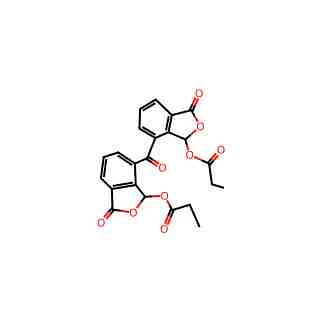 CCC(=O)OC1OC(=O)c2cccc(C(=O)c3cccc4c3C(OC(=O)CC)OC4=O)c21